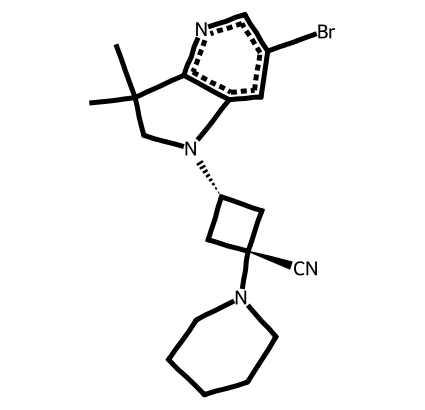 CC1(C)CN([C@H]2C[C@@](C#N)(N3CCCCC3)C2)c2cc(Br)cnc21